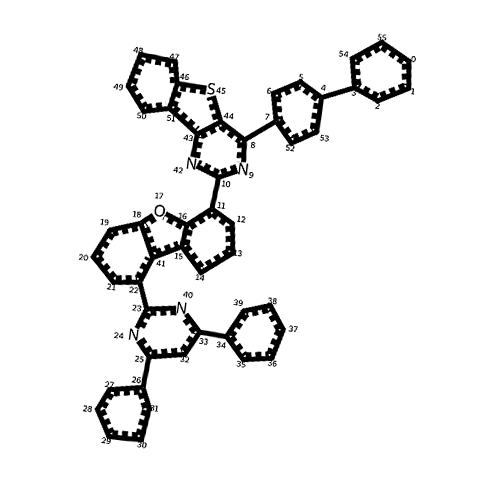 c1ccc(-c2ccc(-c3nc(-c4cccc5c4oc4cccc(-c6nc(-c7ccccc7)cc(-c7ccccc7)n6)c45)nc4c3sc3ccccc34)cc2)cc1